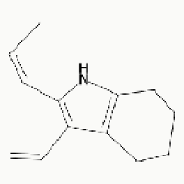 C=Cc1c(/C=C\C)[nH]c2c1CCCC2